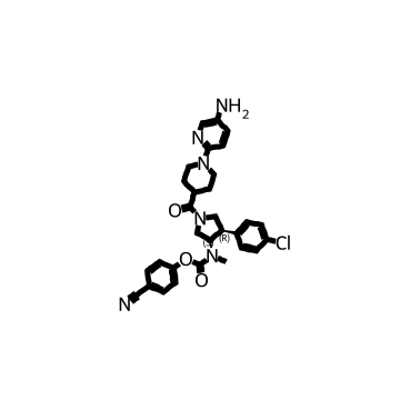 CN(C(=O)Oc1ccc(C#N)cc1)[C@@H]1CN(C(=O)C2CCN(c3ccc(N)cn3)CC2)C[C@H]1c1ccc(Cl)cc1